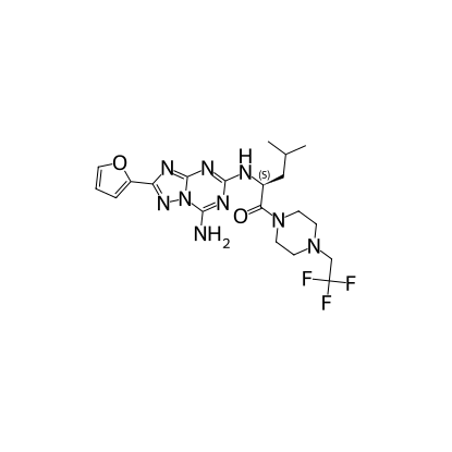 CC(C)C[C@H](Nc1nc(N)n2nc(-c3ccco3)nc2n1)C(=O)N1CCN(CC(F)(F)F)CC1